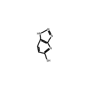 Sc1ccc2[nH]nnc2n1